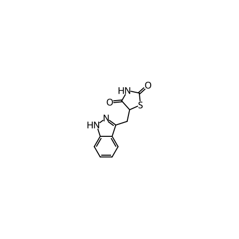 O=C1NC(=O)C(Cc2n[nH]c3ccccc23)S1